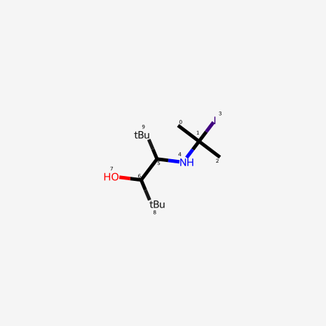 CC(C)(I)NC(C(O)C(C)(C)C)C(C)(C)C